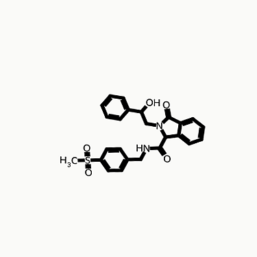 CS(=O)(=O)c1ccc(CNC(=O)C2c3ccccc3C(=O)N2CC(O)c2ccccc2)cc1